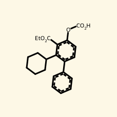 CCOC(=O)c1c(OC(=O)O)ccc(-c2ccccc2)c1C1CCCCC1